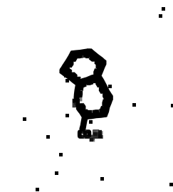 CCOC(=O)c1ccc2ccccc2n1